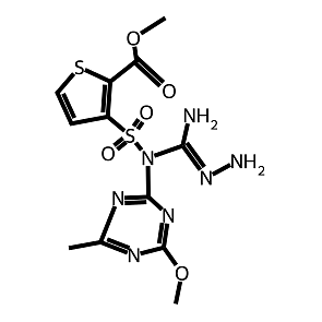 COC(=O)c1sccc1S(=O)(=O)N(C(N)=NN)c1nc(C)nc(OC)n1